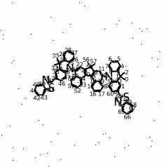 CC1(C)c2ccccc2N(c2cc3c(c4ccccc24)-c2c(cc(N4c5ccccc5C(C)(C)c5cc(-c6nc7ccccc7s6)ccc54)c4ccccc24)C3(C)C)c2ccc(-c3nc4ccccc4s3)cc21